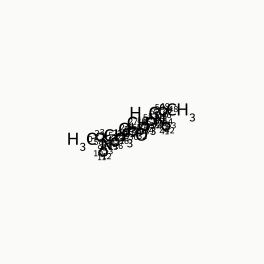 Cc1ccc(C)c(N(c2ccccc2)c2ccc3cc4c(cc3c2)oc2c(C)c3c(cc24)oc2cc4cc(N(c5ccccc5)c5cc(C)ccc5C)ccc4cc23)c1